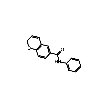 O=C(Nc1ccccc1)c1ccc2c(c1)C=CCO2